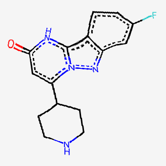 O=c1cc(C2CCNCC2)n2nc3cc(F)ccc3c2[nH]1